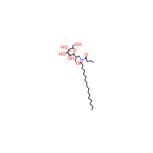 CCCCCCCCCCCCCCCCCN(CC(CO)[C@@H]1O[C@H](CO)[C@@H](O)[C@H](O)[C@H]1O)C(=O)CCC